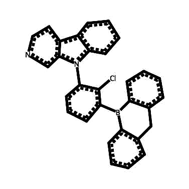 Clc1c(B2c3ccccc3Cc3ccccc32)cccc1-n1c2ccccc2c2ccncc21